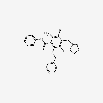 Cc1c(F)c(CN2CCCC2)c(F)c(OCc2ccccc2)c1C(=O)Oc1ccccc1